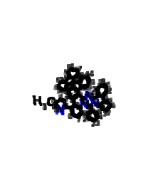 Cc1ccc(-c2ccccc2-c2ccc3c(c2-c2nc(-c4ccccc4)nc(-c4ccccc4-c4ccccc4)n2)-c2ccccc2C32c3ccccc3-c3ccccc32)nc1